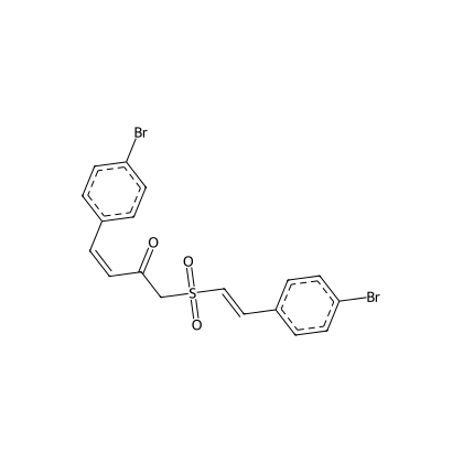 O=C(/C=C\c1ccc(Br)cc1)CS(=O)(=O)/C=C/c1ccc(Br)cc1